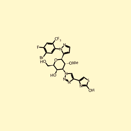 CO[C@@H]1[C@@H](n2cc(-c3csc(O)n3)nn2)[C@@H](O)[C@@H](CO)O[C@H]1c1ccnn1-c1cc(Br)c(F)cc1C(F)(F)F